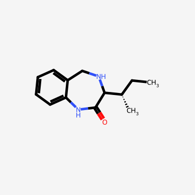 CC[C@H](C)C1NCc2ccccc2NC1=O